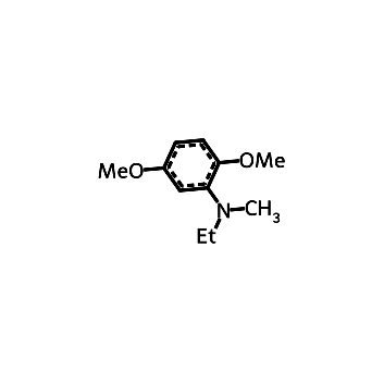 CCN(C)c1cc(OC)ccc1OC